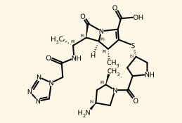 C[C@@H]1C[C@H](N)CN1C(=O)C1C[C@H](SC2=C(C(=O)O)N3C(=O)[C@H]([C@@H](C)NC(=O)Cn4cnnn4)[C@@H]3[C@H]2C)CN1